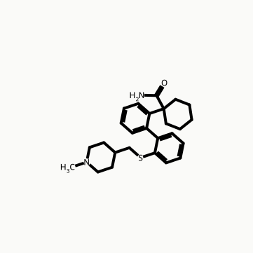 CN1CCC(CSc2ccccc2-c2ccccc2C2(C(N)=O)CCCCC2)CC1